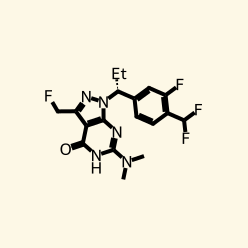 CC[C@H](c1ccc(C(F)F)c(F)c1)n1nc(CF)c2c(=O)[nH]c(N(C)C)nc21